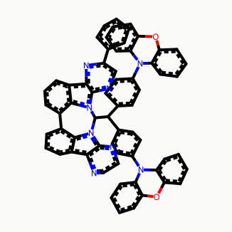 c1ccc(-c2cnc3c(n2)c2cccc4c2n3C(C(c2ccc(N3c5ccccc5Oc5ccccc53)cc2)c2ccc(N3c5ccccc5Oc5ccccc53)cc2)n2c3nccnc3c3cccc-4c32)cc1